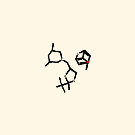 CC1CC(C)CN(CC2COC(C)(C(C)(C)C)O2)C1.CCc1c2cccc1O2